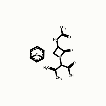 C=C(C)C(C(=O)O)N1CC(NC(C)=O)C1=O.c1cc2cc(c1)O2